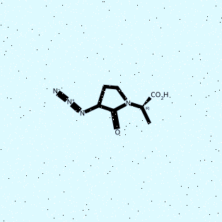 C[C@H](C(=O)O)N1CCC(N=[N+]=[N-])C1=O